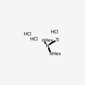 CCCCCC[N]([Ti])CCCCCC.Cl.Cl.Cl